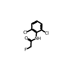 O=C(CF)Nc1c(Cl)cccc1Cl